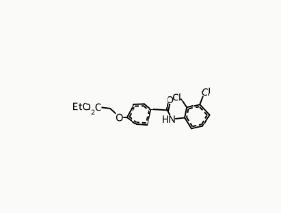 CCOC(=O)COc1ccc(C(=O)Nc2cccc(Cl)c2Cl)cc1